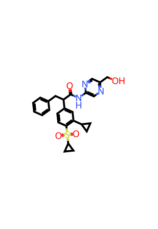 O=C(Nc1cnc(CO)cn1)C(Cc1ccccc1)c1ccc(S(=O)(=O)C2CC2)c(C2CC2)c1